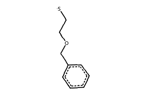 [S]CCOCc1ccccc1